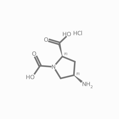 Cl.N[C@@H]1C[C@H](C(=O)O)N(C(=O)O)C1